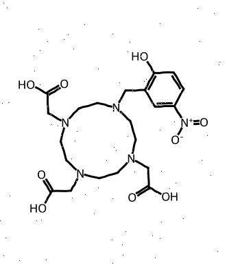 O=C(O)CN1CCN(CC(=O)O)CCN(Cc2cc([N+](=O)[O-])ccc2O)CCN(CC(=O)O)CC1